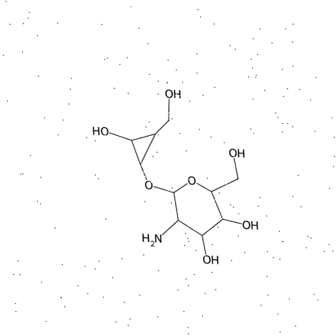 NC1C(OC2C(O)C2CO)OC(CO)C(O)C1O